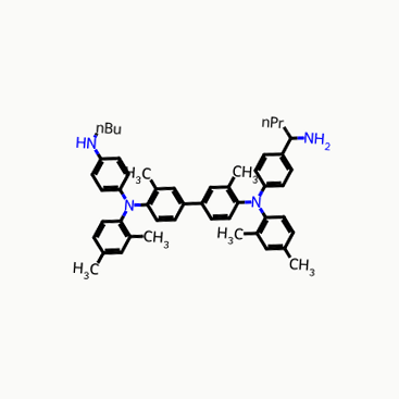 CCCCNc1ccc(N(c2ccc(C)cc2C)c2ccc(-c3ccc(N(c4ccc(C(N)CCC)cc4)c4ccc(C)cc4C)c(C)c3)cc2C)cc1